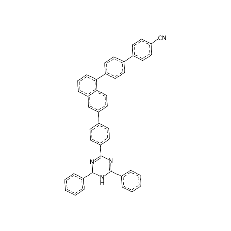 N#Cc1ccc(-c2ccc(-c3cccc4cc(-c5ccc(C6=NC(c7ccccc7)NC(c7ccccc7)=N6)cc5)ccc34)cc2)cc1